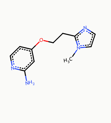 Cn1ccnc1CCOc1ccnc(N)c1